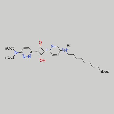 CCCCCCCCCCCCCCCCCC/[N+](CC)=C1C=C/C(=C2/C(=O)C(c3ccc(N(CCCCCCCC)CCCCCCCC)nn3)=C2O)N=C\1